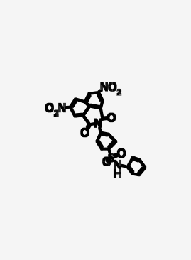 O=C1c2cc([N+](=O)[O-])cc3cc([N+](=O)[O-])cc(c23)C(=O)N1c1ccc(S(=O)(=O)Nc2ccccc2)cc1